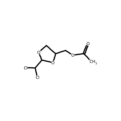 CC(=O)OCC1COC(C(Cl)Cl)O1